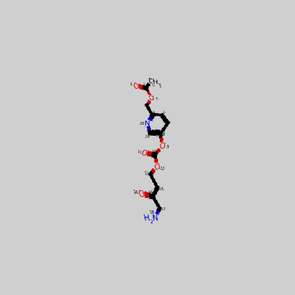 CC(=O)OCc1ccc(OC(=O)OCCC(=O)CN)cn1